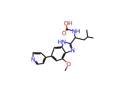 COc1cc(-c2ccncc2)cc2[nH]c(C(CC(C)C)NC(=O)O)nc12